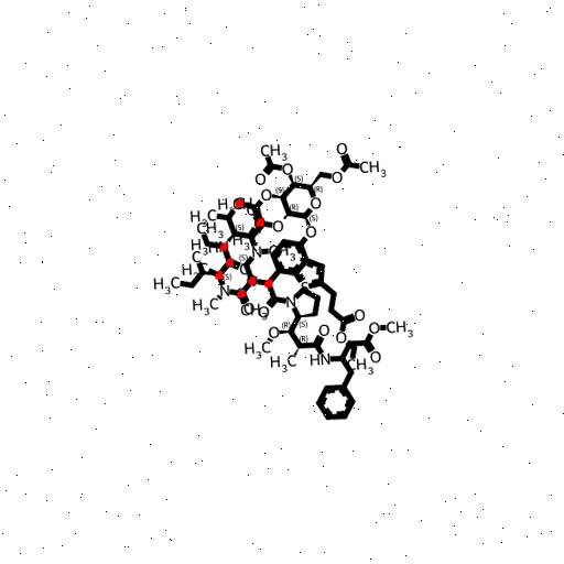 CCCC(CC)[C@@H]([C@@H](CC(=O)N1CCC[C@H]1[C@H](OC)[C@@H](C)C(=O)NC(CC(=O)OC)Cc1ccccc1)OC)N(C)C(=O)[C@@H](NC(=O)[C@H](C(C)CC)N(C)C(=O)OCc1ccc(O[C@@H]2O[C@H](COC(C)=O)[C@H](OC(C)=O)[C@H](OC(C)=O)[C@H]2OC(C)=O)c2cc(CCC(=O)OCC)sc12)C(C)C